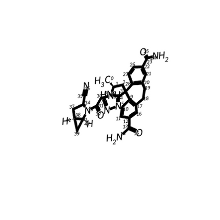 C[C@@H](CC1(c2nnc[nH]2)c2ccc(C(N)=O)cc2CCc2cc(C(N)=O)ccc21)NCC(=O)N1C(C#N)C[C@@H]2C[C@@H]21